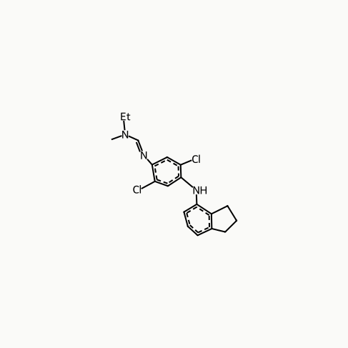 CCN(C)C=Nc1cc(Cl)c(Nc2cccc3c2CCC3)cc1Cl